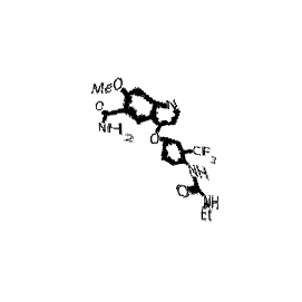 CCNC(=O)Nc1ccc(Oc2ccnc3cc(OC)c(C(N)=O)cc23)cc1C(F)(F)F